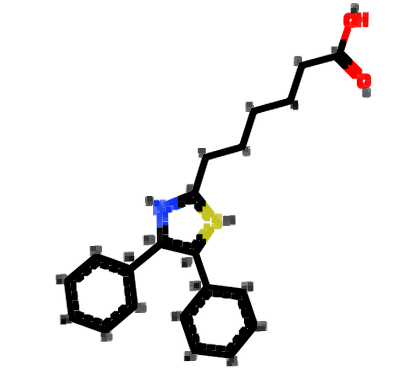 O=C(O)CCCCCc1nc(-c2ccccc2)c(-c2ccccc2)s1